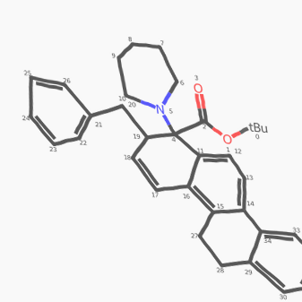 CC(C)(C)OC(=O)C1(N2CCCCC2)c2ccc3c(c2C=CC1Cc1ccccc1)CCc1ccccc1-3